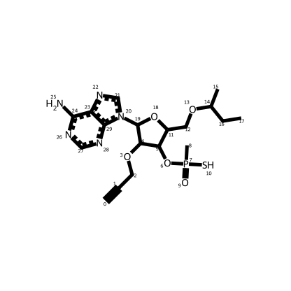 C#CCOC1C(OP(C)(=O)S)C(COC(C)CC)OC1n1cnc2c(N)ncnc21